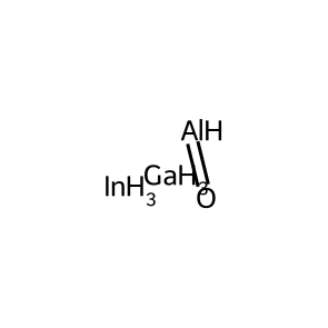 [GaH3].[InH3].[O]=[AlH]